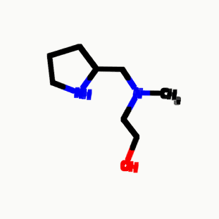 CN(CCO)CC1CCCN1